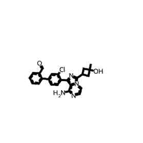 CC1(O)CC(c2nc(-c3ccc(-c4ccccc4C=O)cc3Cl)c3c(N)nccn23)C1